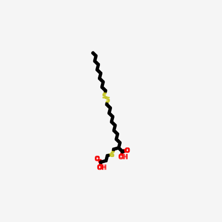 CCCCCCCCCCSSCCCCCCCCCCC(CSCCC(=O)O)C(=O)O